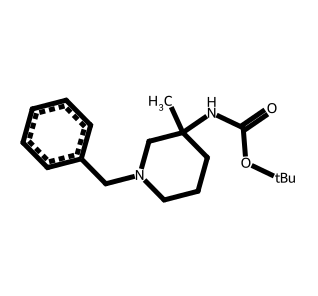 CC1(NC(=O)OC(C)(C)C)CCCN(Cc2ccccc2)C1